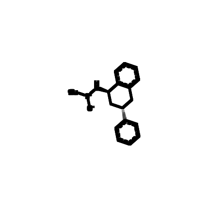 CC(C)(C)[S+]([O-])N[C@@H]1C[C@@H](c2ccccc2)Cc2ccccc21